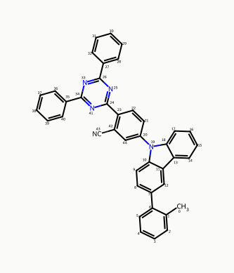 Cc1ccccc1-c1ccc2c(c1)c1ccccc1n2-c1ccc(-c2nc(-c3ccccc3)nc(-c3ccccc3)n2)c(C#N)c1